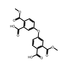 COC(=O)c1ccc(Oc2ccc(C(=O)O)c(C(=O)OC)c2)cc1C(=O)O